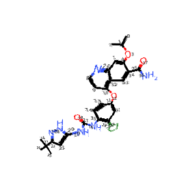 CC(C)Oc1cc2nccc(Oc3ccc(NC(=O)Nc4cc(C(C)(C)C)n[nH]4)c(Cl)c3)c2cc1C(N)=O